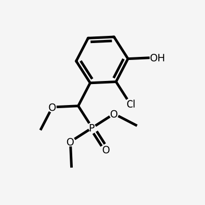 COC(c1cccc(O)c1Cl)P(=O)(OC)OC